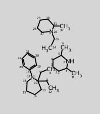 CC1CCCC(C)N1.CCC1(CC)CCCCN1c1ccccc1.CCN1CCCCC1C